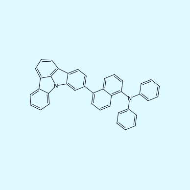 c1ccc(N(c2ccccc2)c2cccc3c(-c4ccc5c6cccc7c8ccccc8n(c5c4)c76)cccc23)cc1